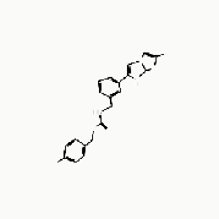 CC1=CN2C=C(c3cccc(CNC(=O)NCc4ccc(F)cc4)c3)NC2S1